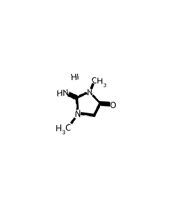 CN1CC(=O)N(C)C1=N.I